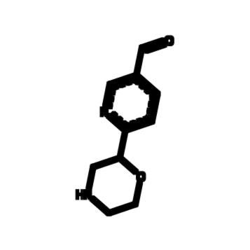 O=Cc1ccc(C2CNCCO2)nc1